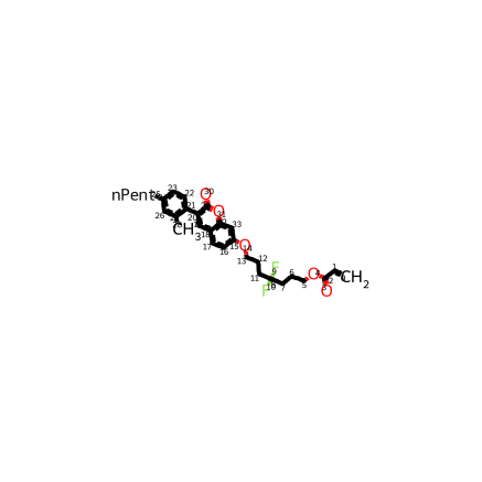 C=CC(=O)OCCCC(F)(F)CCCOc1ccc2cc(-c3ccc(CCCCC)cc3C)c(=O)oc2c1